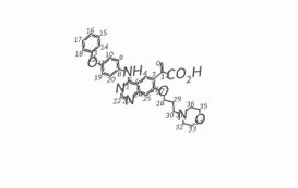 C=C(C(=O)O)c1cc2c(Nc3ccc(Oc4ccccc4)cc3)ncnc2cc1OCCCN1CCOCC1